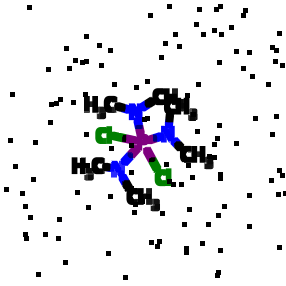 CN(C)P(Cl)(Cl)(N(C)C)N(C)C